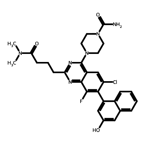 CN(C)C(=O)CCCc1nc(N2CCN(C(N)=O)CC2)c2cc(Cl)c(-c3cc(O)cc4ccccc34)c(F)c2n1